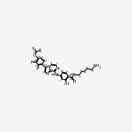 CCc1cc(Nc2nccn3c(-c4ccc(OC(F)F)c(F)c4F)cnc23)ccc1C(=O)NCCCCCN